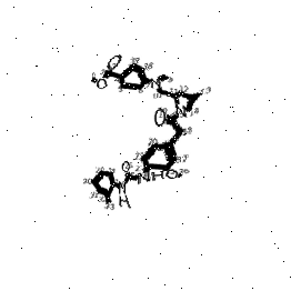 COC(=O)c1ccc(N(C)CC2CCCN2C(=O)Cc2ccc(NC(=O)Nc3ccccc3C)c(OC)c2)cc1